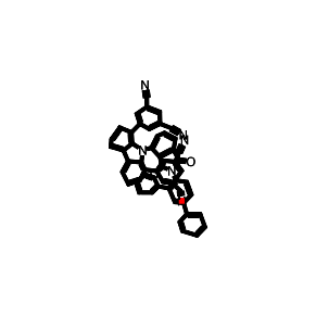 N#Cc1cc(C#N)cc(-c2cccc3c4cccc(-c5cc(C#N)cc(C#N)c5)c4n(-c4cccc5c4C(=O)N(c4ccc(-c6ccccc6)cc4-c4ccccc4)C5=O)c23)c1